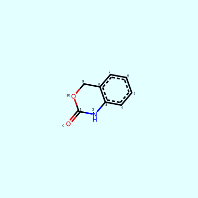 O=C1Nc2ccccc2[CH]O1